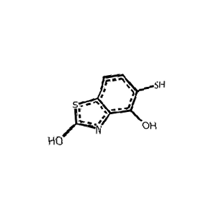 Oc1nc2c(O)c(S)ccc2s1